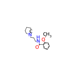 CCOc1ccccc1C(=O)NCCCN1CCCCC1